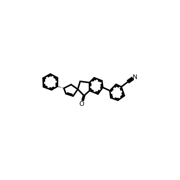 N#Cc1cccc(-c2ccc3c(c2)C(=O)C2(C=C[C@H](c4ccccc4)C2)C3)c1